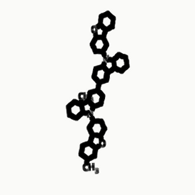 CC1CCC2C(C1)OC1CCC(N3C4CCC(C5C=C6C7CCCCC7N(C7CCC8OC9CCCCC9C8C7)C6CC5)CC4C4(C)CCCCC34)CC12